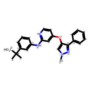 CCn1cc(Oc2ccnc(Nc3cccc(C(C)(C)C(=O)O)c3)c2)c(-c2ccccc2)n1